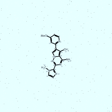 COc1ccnc(-c2cn3nc(-c4nccn4C)nc(N)c3c2C)c1